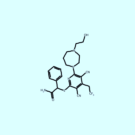 N#Cc1c(SC(C(N)=O)c2ccccc2)nc(N2CCCN(CCO)CC2)c(C#N)c1CC(F)(F)F